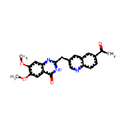 COc1cc2nc(Cc3cnc4ccc(C(C)=O)cc4c3)[nH]c(=O)c2cc1OC